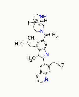 C=C(c1cc(CC(C)C)c2c(c1)N=C(c1cc3cccnc3cc1CC1CC1)C2C)N1CC[C@@H]2CCN[C@@H]2C1